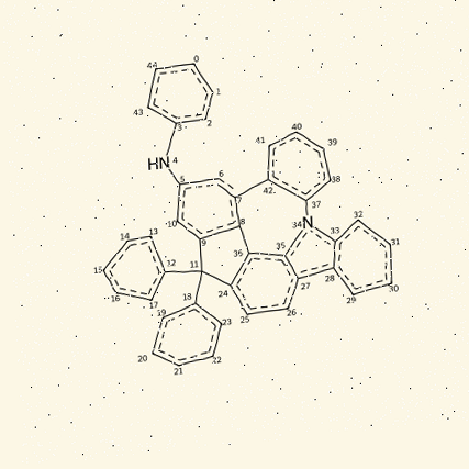 c1ccc(Nc2cc3c4c(c2)C(c2ccccc2)(c2ccccc2)c2ccc5c6ccccc6n(c5c2-4)-c2ccccc2-3)cc1